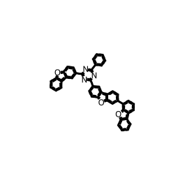 c1ccc(-c2nc(-c3ccc4oc5ccccc5c4c3)nc(-c3ccc4oc5cc(-c6cccc7c6oc6ccccc67)ccc5c4c3)n2)cc1